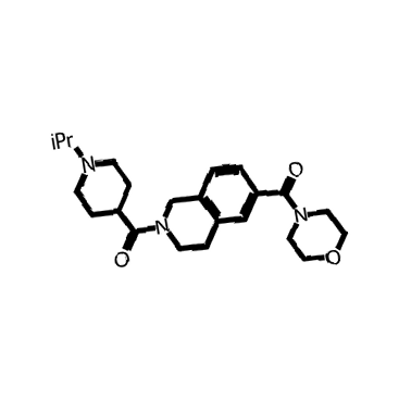 CC(C)N1CCC(C(=O)N2CCc3cc(C(=O)N4CCOCC4)ccc3C2)CC1